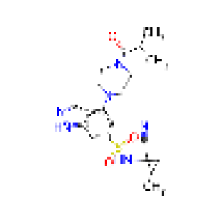 CC(C)C(=O)N1CCN(c2cc(S(=O)(=O)NC3(C#N)CC3C)cc3[nH]ncc23)CC1